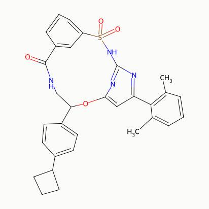 Cc1cccc(C)c1-c1cc2nc(n1)NS(=O)(=O)c1cccc(c1)C(=O)NCC(c1ccc(C3CCC3)cc1)O2